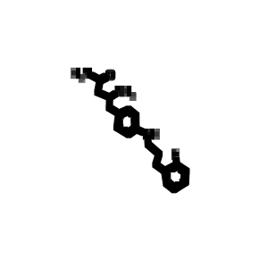 NC(=O)CC(N)Cc1ccc(NCCCc2ccccc2F)cc1